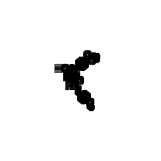 CCOc1ccc(CCNC(=O)c2cnn3c(O)cc(C4CCN(C(=O)OC(C)(C)C)CC4)nc23)cc1